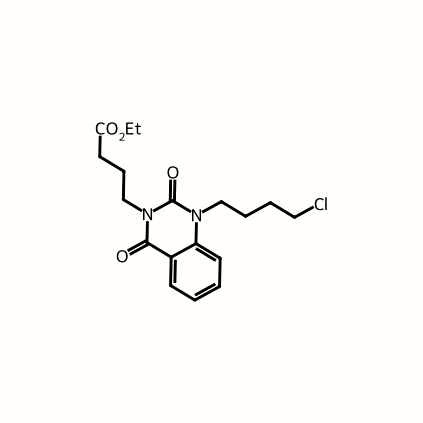 CCOC(=O)CCCn1c(=O)c2ccccc2n(CCCCCl)c1=O